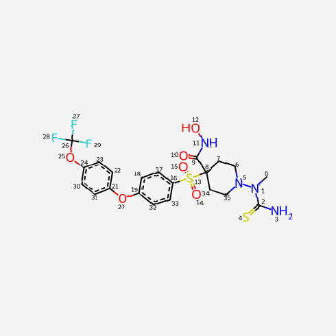 CN(C(N)=S)N1CCC(C(=O)NO)(S(=O)(=O)c2ccc(Oc3ccc(OC(F)(F)F)cc3)cc2)CC1